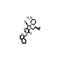 N#CC1c2ncn(Cc3nccc4ccccc34)c(=O)c2N(CC=C2CC2)C1N1CCC[C@H](N)C1